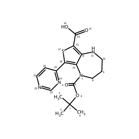 CC(C)(C)OC(=O)N1CCCNc2c(C(=O)O)sc(-c3ccncn3)c21